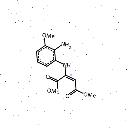 COC(=O)/C=C(/Nc1cccc(OC)c1N)C(=O)OC